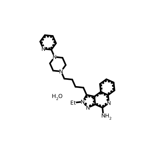 CCn1nc2c(N)nc3ccccc3c2c1CCCCN1CCN(c2ccccn2)CC1.O